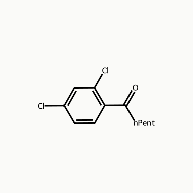 CCCCCC(=O)c1ccc(Cl)cc1Cl